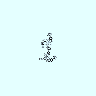 COc1cnn([C@H](C(=O)N2C[C@H](Oc3cc(-c4cnn([C@H](C(=O)N5C[C@H](O)C[C@H]5C(=O)N[C@@H](C)c5ccc(-c6scnc6C)cc5)C(C)C)c4)ccn3)C[C@H]2C(=O)N[C@@H](C)c2ccc(-c3scnc3C)cc2)C(C)C)c1